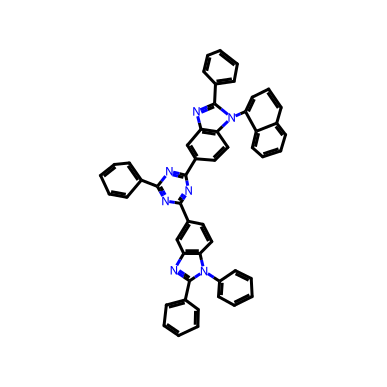 c1ccc(-c2nc(-c3ccc4c(c3)nc(-c3ccccc3)n4-c3ccccc3)nc(-c3ccc4c(c3)nc(-c3ccccc3)n4-c3cccc4ccccc34)n2)cc1